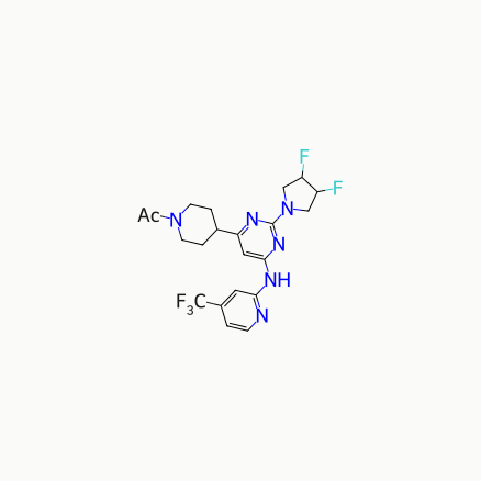 CC(=O)N1CCC(c2cc(Nc3cc(C(F)(F)F)ccn3)nc(N3CC(F)C(F)C3)n2)CC1